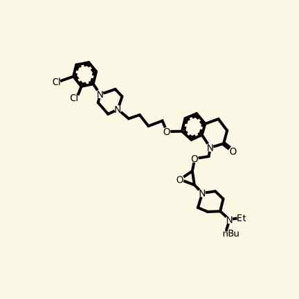 CCCCN(CC)C1CCN(C2OC2OCN2C(=O)CCc3ccc(OCCCCN4CCN(c5cccc(Cl)c5Cl)CC4)cc32)CC1